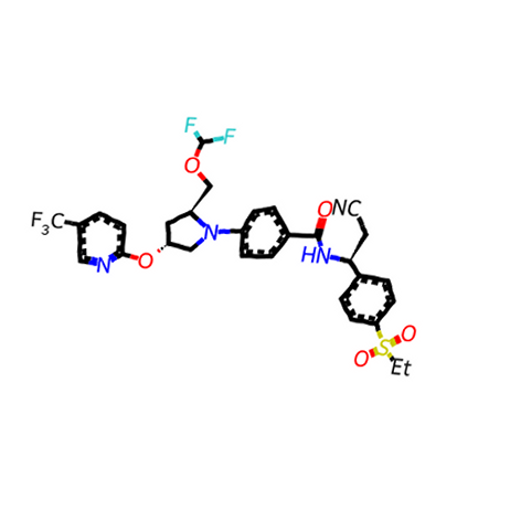 CCS(=O)(=O)c1ccc([C@H](CC#N)NC(=O)c2ccc(N3C[C@H](Oc4ccc(C(F)(F)F)cn4)C[C@H]3COC(F)F)cc2)cc1